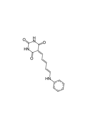 O=C1NC(=O)C(=C/C=C/C=C/Nc2ccccc2)C(=O)N1